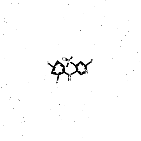 CP(C)(=O)c1cc(F)ncc1Nc1ccc(I)cc1F